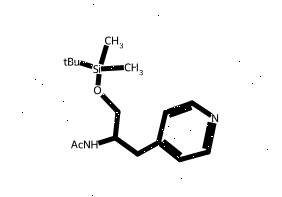 CC(=O)NC(CO[Si](C)(C)C(C)(C)C)Cc1ccncc1